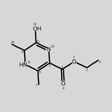 CCOC(=O)C1=C(C)NC(C)C(O)=N1